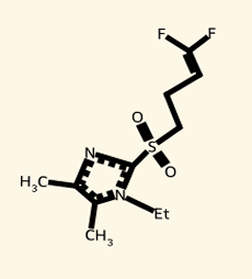 CCn1c(S(=O)(=O)CCC=C(F)F)nc(C)c1C